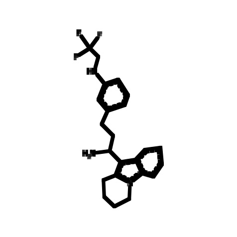 NC(CCc1cccc(NCC(F)(F)F)c1)c1c2n(c3ccccc13)CCCC2